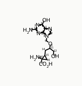 Nc1nc(O)c2ncn(COC(CO)CC3CC3(N)C(=O)O)c2n1